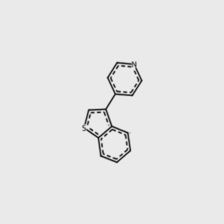 [c]1cccc2scc(-c3ccncc3)c12